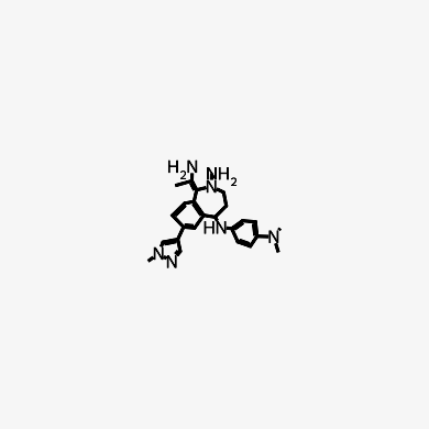 C/C(N)=C1\c2ccc(-c3cnn(C)c3)cc2C(Nc2ccc(N(C)C)cc2)CCN1N